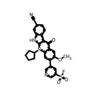 COc1cc2c(=O)c3c4ccc(C#N)cc4[nH]c3n(C3CCCC3)c2cc1-c1cncc(S(=O)(=O)F)c1